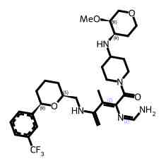 C=C(NC[C@@H]1CCC[C@H](c2cccc(C(F)(F)F)c2)O1)/C(C)=C(\N=C/N)C(=O)N1CCC(N[C@@H]2CCOC[C@@H]2OC)CC1